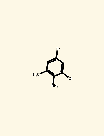 [CH2]c1cc(Br)cc(Cl)c1N